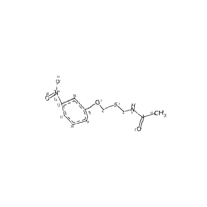 CC(=O)NCSCOc1cccc([N+](=O)[O-])c1